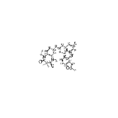 CCN1C(=O)C(C)(C)C(=O)N(C)c2cc(CN(CCn3ccc4oc(C)cc4c3=O)Cc3cncc(F)c3)ccc21